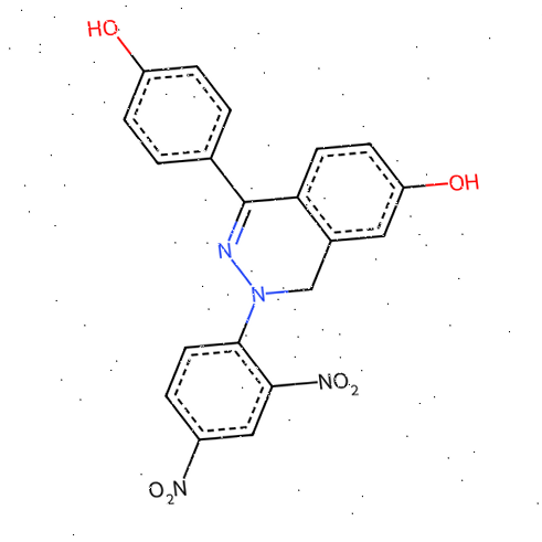 O=[N+]([O-])c1ccc(N2Cc3cc(O)ccc3C(c3ccc(O)cc3)=N2)c([N+](=O)[O-])c1